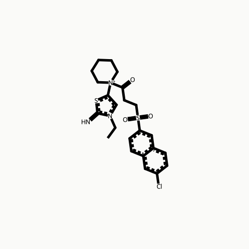 CCn1cc([N+]2(C(=O)CCS(=O)(=O)c3ccc4cc(Cl)ccc4c3)CCCCC2)sc1=N